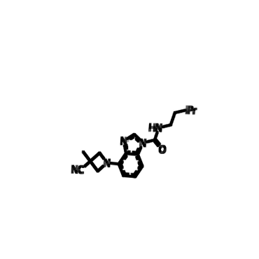 CC(C)CCNC(=O)n1cnc2c(N3CC(C)(C#N)C3)cccc21